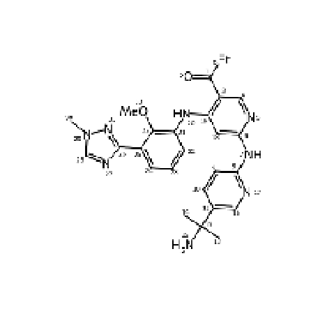 CCC(=O)c1cnc(Nc2ccc(C(C)(C)N)cn2)cc1Nc1cccc(-c2ncn(C)n2)c1OC